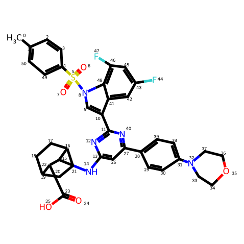 Cc1ccc(S(=O)(=O)n2cc(-c3nc(NC4C5CCC(CC5)C4C(=O)O)cc(-c4ccc(N5CCOCC5)cc4)n3)c3cc(F)cc(F)c32)cc1